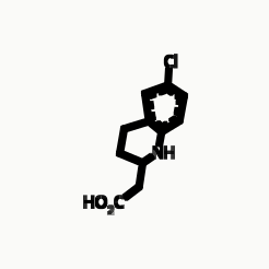 O=C(O)CC1CCc2cc(Cl)ccc2N1